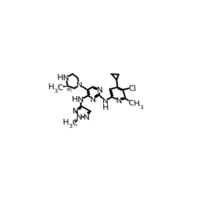 Cc1nc(Nc2ncc(N3CCN[C@H](C)C3)c(Nc3cnn(C)n3)n2)cc(C2CC2)c1Cl